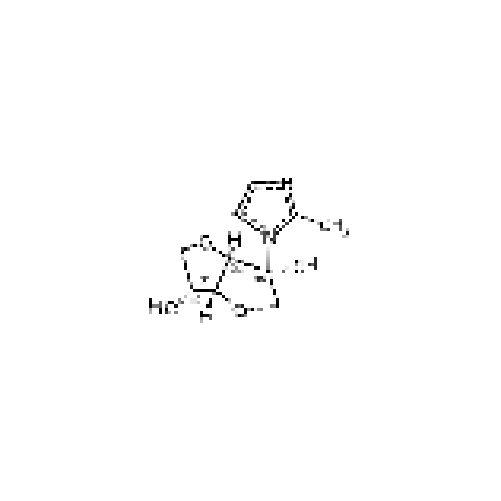 Cc1nccn1[C@@]1(O)CO[C@@H]2[C@H](O)CO[C@@H]21